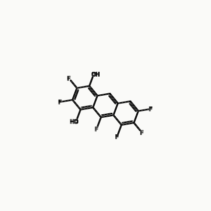 Oc1c(F)c(F)c(O)c2c(F)c3c(F)c(F)c(F)cc3cc12